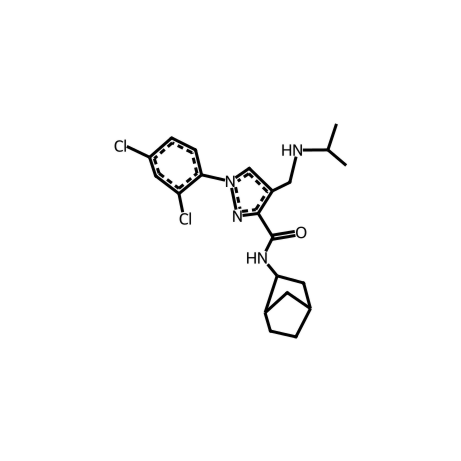 CC(C)NCc1cn(-c2ccc(Cl)cc2Cl)nc1C(=O)NC1CC2CCC1C2